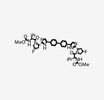 COC(=O)NC(C(=O)N1C[C@@H](F)C[C@H]1c1ncc(-c2ccc(-c3ccc(-c4cnc([C@@H]5C[C@H](F)CN5C(=O)[C@@H](NC(=O)OC)C(C)C)[nH]4)cc3)cc2)[nH]1)C(C)C